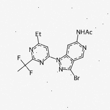 CCc1cc(-n2nc(Br)c3cnc(NC(C)=O)cc32)nc(C(C)(F)F)n1